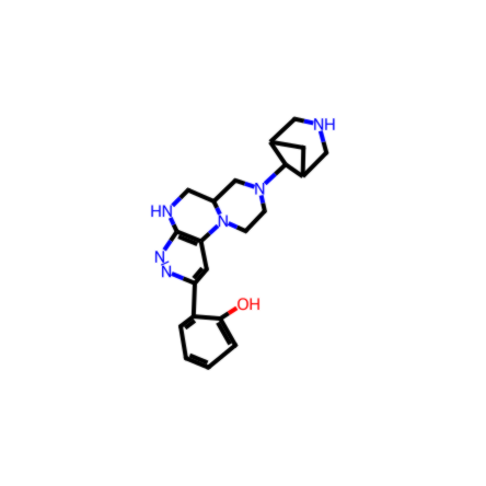 Oc1ccccc1-c1cc2c(nn1)NCC1CN(C3C4CNCC3C4)CCN21